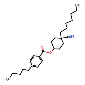 CCCCCCCC1(C#N)CCC(OC(=O)c2ccc(CCCCC)cc2)CC1